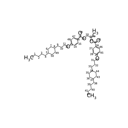 CCCCCC1CCC(CCCOc2ccc(C(=O)OCC(C)OC(=O)c3ccc(OCCCC4CCC(CCCCC)CC4)cc3)cc2)CC1